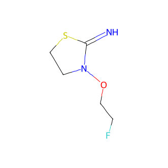 N=C1SCCN1OCCF